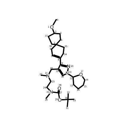 COC1CCC2(CC=C(c3nn(C4CCCCO4)cc3CN(C)CCN(C)C(=O)OC(C)(C)C)CC2)CC1